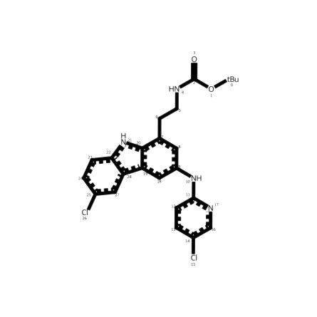 CC(C)(C)OC(=O)NCCc1cc(Nc2ccc(Cl)cn2)cc2c1[nH]c1ccc(Cl)cc12